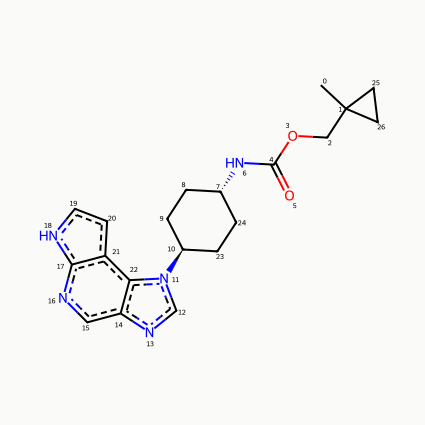 CC1(COC(=O)N[C@H]2CC[C@H](n3cnc4cnc5[nH]ccc5c43)CC2)CC1